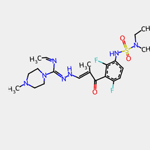 C/C=N\C(=N/N/C=C(\C)C(=O)c1c(F)ccc(NS(=O)(=O)N(C)CC)c1F)N1CCN(C)CC1